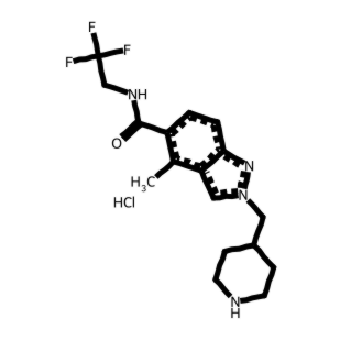 Cc1c(C(=O)NCC(F)(F)F)ccc2nn(CC3CCNCC3)cc12.Cl